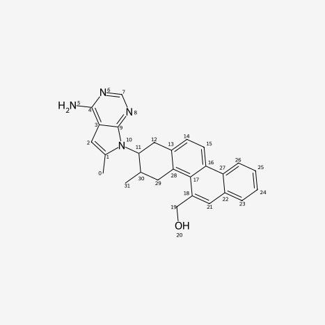 Cc1cc2c(N)ncnc2n1C1Cc2ccc3c(c(CO)cc4ccccc43)c2CC1C